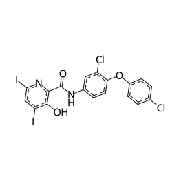 O=C(Nc1ccc(Oc2ccc(Cl)cc2)c(Cl)c1)c1nc(I)cc(I)c1O